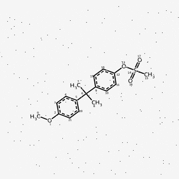 COc1ccc(C(C)(C)c2ccc(OS(C)(=O)=O)cc2)cc1